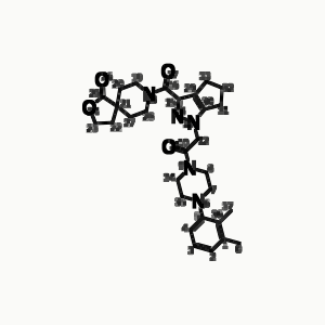 Cc1cccc(N2CCN(C(=O)Cn3nc(C(=O)N4CCC5(CCOC5=O)CC4)c4c3CCC4)CC2)c1C